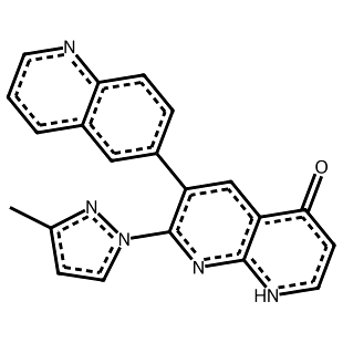 Cc1ccn(-c2nc3[nH]ccc(=O)c3cc2-c2ccc3ncccc3c2)n1